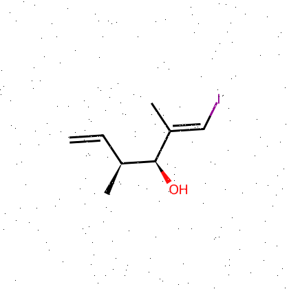 C=C[C@H](C)[C@H](O)/C(C)=C/I